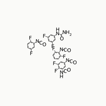 N=C=O.NC(=O)Nc1cc(F)cc(F)c1.O=C=Nc1c(F)cccc1F.O=C=Nc1cc(F)ccc1F.O=C=Nc1ccc(F)c(F)c1